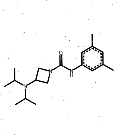 Cc1cc(C)cc(NC(=O)N2CC(N(C(C)C)C(C)C)C2)c1